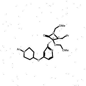 COCO[C@@]1(Cc2cc(OC3CCN(C(C)=O)CC3)ccn2)C(=O)N(COC)[C@H]1CC(C)C